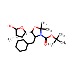 C[C@H]1C[C@@H](C2OC(C)(C)N(C(=O)OC(C)(C)C)C2CC2CCCCC2)OC1O